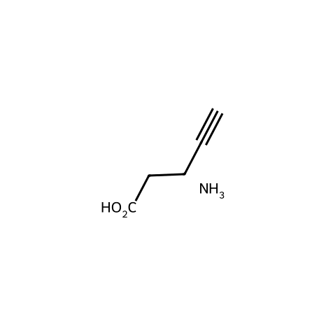 C#CCCC(=O)O.N